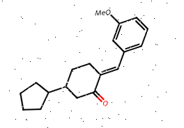 COc1cccc(C=C2CCC(C3CCCC3)CC2=O)c1